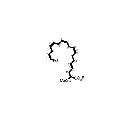 CC/C=C\C/C=C\C/C=C\C/C=C\CC/C=C/CC(SC)C(=O)OCC